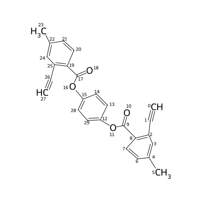 C#Cc1cc(C)ccc1C(=O)Oc1ccc(OC(=O)c2ccc(C)cc2C#C)cc1